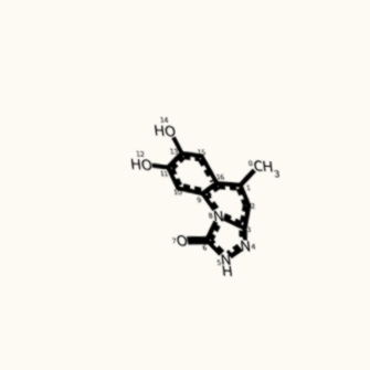 Cc1cc2n[nH]c(=O)n2c2cc(O)c(O)cc12